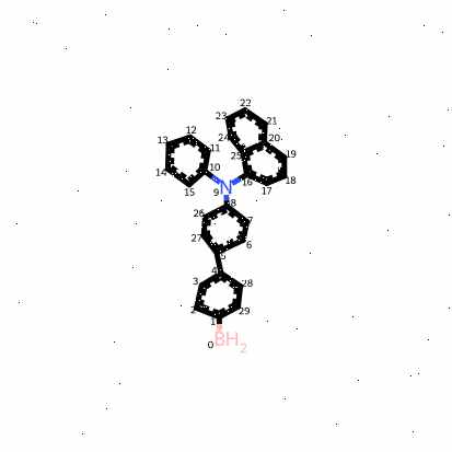 Bc1ccc(-c2ccc(N(c3ccccc3)c3cccc4ccccc34)cc2)cc1